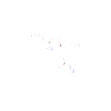 CO[C@H](C)C(=O)N[C@@H](CCC(=O)C=N)C(=O)OCC(F)(F)F